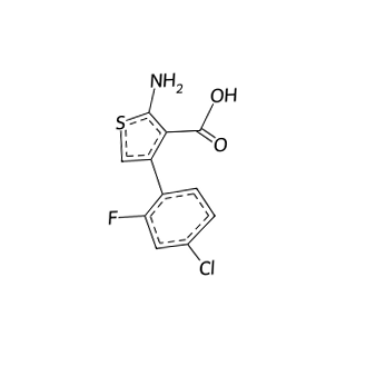 Nc1scc(-c2ccc(Cl)cc2F)c1C(=O)O